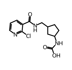 O=C(O)NC1CCC(CNC(=O)c2cccnc2Cl)C1